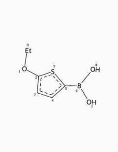 CCOc1ccc(B(O)O)s1